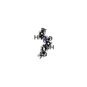 CC(C)(C)OC(=O)N1CCN(Cc2c(O)ccc3c2O/C(=C\c2c[nH]c4ccc(Br)cc24)C3=O)CC1